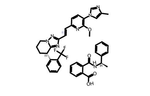 COc1nc(/C=C/c2nc3n(n2)CCC[C@H]3c2ccccc2C(F)(F)F)ccc1-n1cnc(C)c1.C[C@@H](NC(=O)c1ccccc1C(=O)O)c1ccccc1